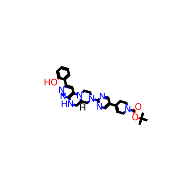 CC(C)(C)OC(=O)N1CC=C(c2cnc(N3CCN4c5cc(-c6ccccc6O)nnc5NC[C@H]4C3)nc2)CC1